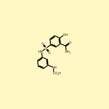 NC(=O)c1cc(S(=O)(=O)Nc2cccc(NC(=O)O)c2)ccc1O